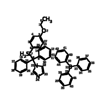 CCOc1ccc([SiH2]C(c2ccccc2)(c2ccccc2)n2ccnc2)cc1.c1ccc(B(c2ccccc2)c2ccccc2)cc1